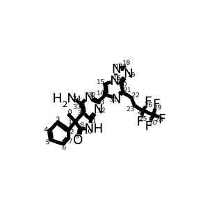 CC1(c2ccccc2)C(=O)Nc2nc(-c3cn4ncnc4c(CCC(F)(F)C(F)(F)F)n3)nc(N)c21